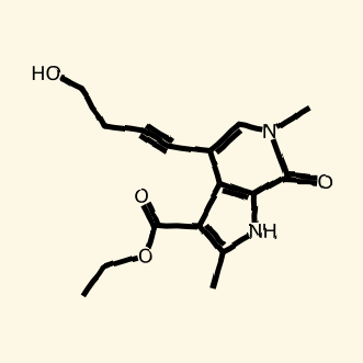 CCOC(=O)c1c(C)[nH]c2c(=O)n(C)cc(C#CCCO)c12